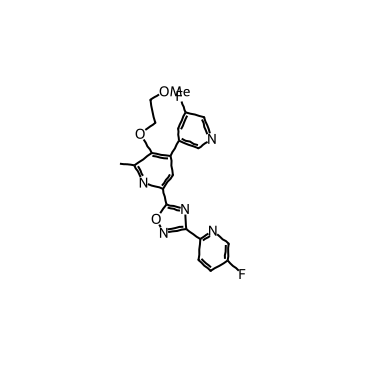 COCCOc1c(-c2cncc(F)c2)cc(-c2nc(-c3ccc(F)cn3)no2)nc1C